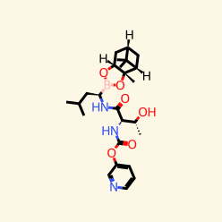 CC(C)C[C@H](NC(=O)[C@@H](NC(=O)Oc1cccnc1)[C@@H](C)O)B1O[C@@H]2C[C@@H]3C[C@@H](C3(C)C)[C@]2(C)O1